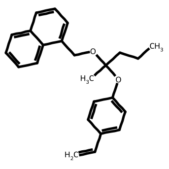 C=Cc1ccc(OC(C)(CCC)OCc2cccc3ccccc23)cc1